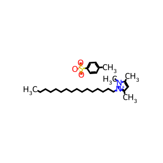 CCCCCCCCCCCCCCCC[n+]1c(C)cc(C)n1C.Cc1ccc(S(=O)(=O)[O-])cc1